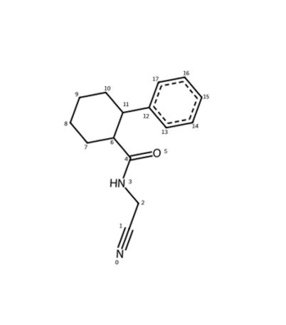 N#CCNC(=O)C1CCCCC1c1ccccc1